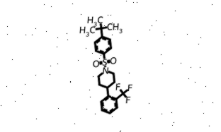 CC(C)(C)c1ccc(S(=O)(=O)N2CCC(c3ccccc3C(F)(F)F)CC2)cc1